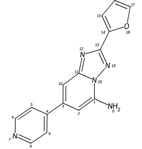 Nc1cc(-c2ccncc2)cc2nc(-c3ccco3)nn12